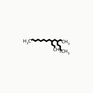 CCCCCCCCC([CH]C(CC)CCCC)CCC